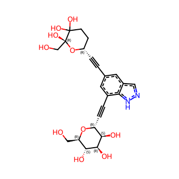 OC[C@H]1O[C@H](C#Cc2cc(C#C[C@H]3CCC(O)(O)[C@@](O)(CO)O3)cc3cn[nH]c23)[C@@H](O)[C@@H](O)[C@@H]1O